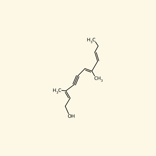 CCC=CC(C)=CC#CC(C)=CCO